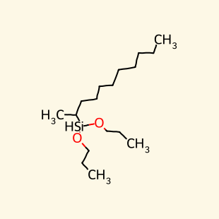 CCCCCCCCCC(C)[SiH](OCCC)OCCC